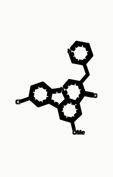 COc1cc2c(=O)c(Cc3cccnc3)cn3c4ccc(Cl)cc4c(c1)c23